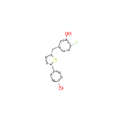 Oc1ccc(-c2ccc(Cc3ccc(F)c(O)c3)s2)cc1